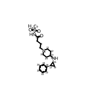 CS(=O)(=O)NC(=O)CCCN1CCC(N[C@@H]2C[C@H]2c2ccccc2)CC1